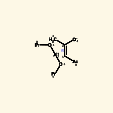 CC(=O)/C=C(/C)[O-].CC(C)[O][Al+][O]C(C)C